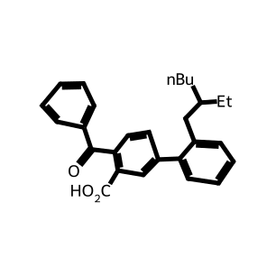 CCCCC(CC)Cc1ccccc1-c1ccc(C(=O)c2ccccc2)c(C(=O)O)c1